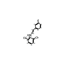 Cc1cccc(/C=N/Nc2c(Cl)cccc2Cl)c1